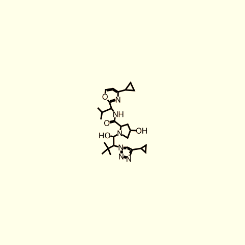 CC(C)C(NC(=O)C1CC(O)CN1C(O)C(n1cc(C2CC2)nn1)C(C)(C)C)C1=NC(C2CC2)=C=CO1